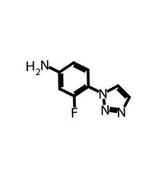 Nc1ccc(-n2ccnn2)c(F)c1